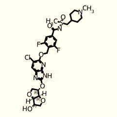 CN1CCC(CS(C)(=O)=NC(=O)c2cc(F)c(COc3nc4[nH]c(O[C@@H]5CO[C@H]6[C@@H]5OC[C@H]6O)nc4cc3Cl)c(F)c2)CC1